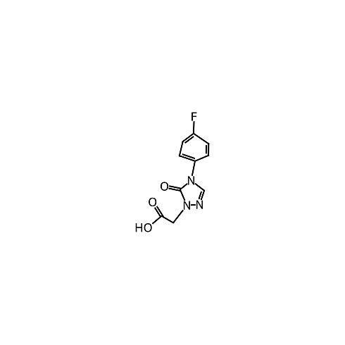 O=C(O)Cn1ncn(-c2ccc(F)cc2)c1=O